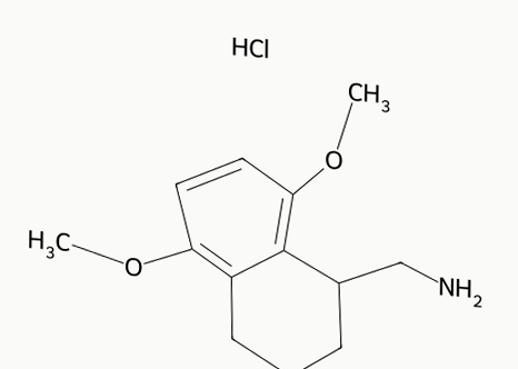 COc1ccc(OC)c2c1CCCC2CN.Cl